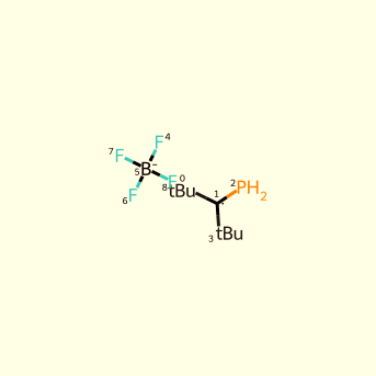 CC(C)(C)[C](P)C(C)(C)C.F[B-](F)(F)F